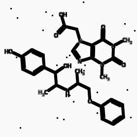 CC(COc1ccccc1)NC(C)C(O)c1ccc(O)cc1.Cn1c(=O)c2c(ncn2CC(=O)O)n(C)c1=O